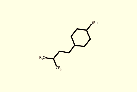 CC(C)(C)C1CCC(CCC(C(F)(F)F)C(F)(F)F)CC1